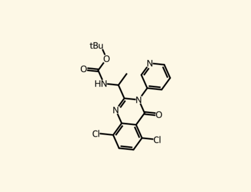 CC(NC(=O)OC(C)(C)C)c1nc2c(Cl)ccc(Cl)c2c(=O)n1-c1cccnc1